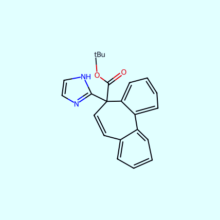 CC(C)(C)OC(=O)C1(c2ncc[nH]2)C=Cc2ccccc2-c2ccccc21